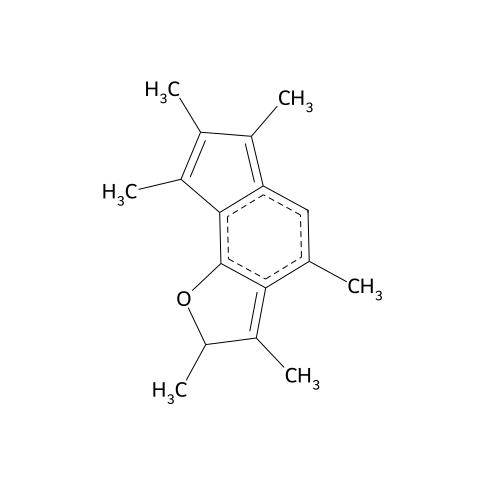 CC1=C(C)c2c3c(c(C)cc2=C1C)=C(C)C(C)O3